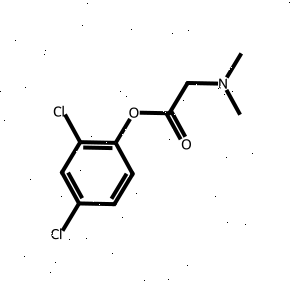 CN(C)CC(=O)Oc1ccc(Cl)cc1Cl